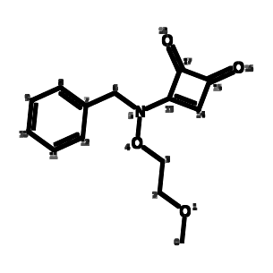 COCCON(Cc1ccccc1)c1cc(=O)c1=O